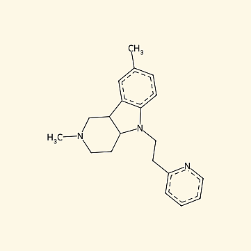 Cc1ccc2c(c1)C1CN(C)CCC1N2CCc1ccccn1